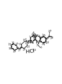 CCN(c1nc(C)cc(N2CCC(=Cc3ccccc3)CC2)n1)c1ccc(C(C)C)cc1Br.Cl